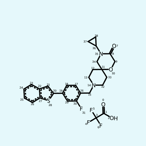 O=C(O)C(F)(F)F.O=C1COC2(CCN(Cc3ccc(-c4cc5ccccc5s4)cc3F)CC2)CN1C1CC1